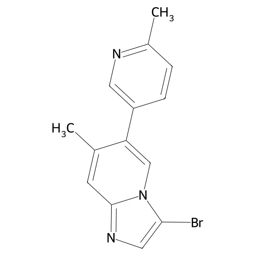 Cc1ccc(-c2cn3c(Br)cnc3cc2C)cn1